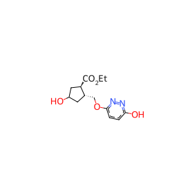 CCOC(=O)[C@@H]1CC(O)C[C@H]1COc1ccc(O)nn1